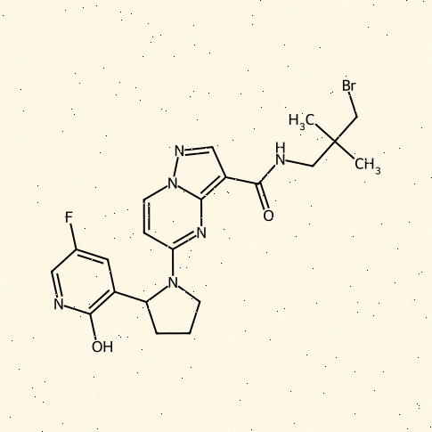 CC(C)(CBr)CNC(=O)c1cnn2ccc(N3CCCC3c3cc(F)cnc3O)nc12